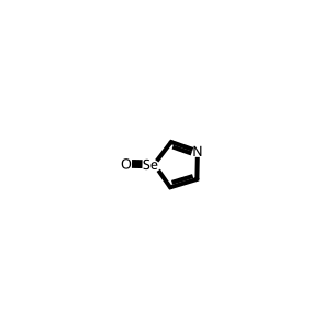 O=[Se]1C=CN=C1